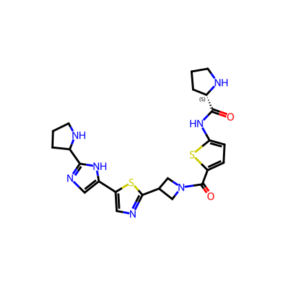 O=C(Nc1ccc(C(=O)N2CC(c3ncc(-c4cnc(C5CCCN5)[nH]4)s3)C2)s1)[C@@H]1CCCN1